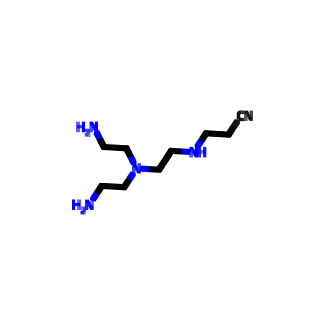 N#CCCNCCN(CCN)CCN